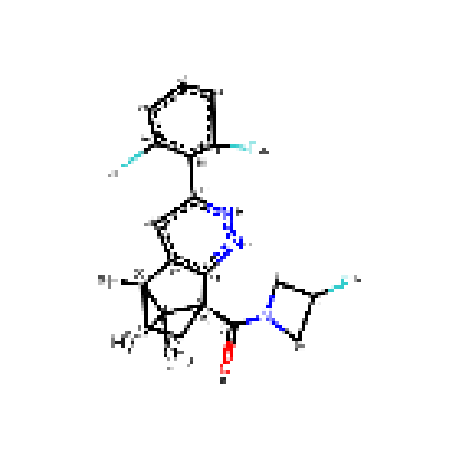 CC1(C)[C@@H]2CC[C@@]1(C(=O)N1CC(F)C1)c1nnc(-c3c(F)cccc3F)cc12